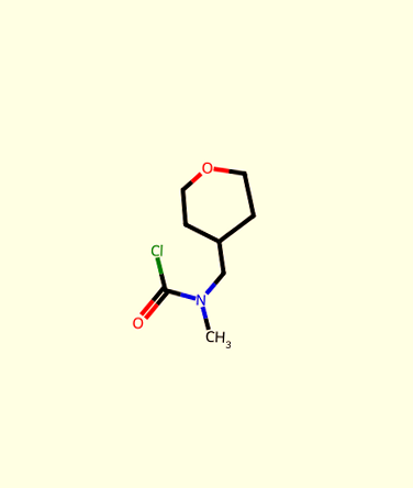 CN(CC1CCOCC1)C(=O)Cl